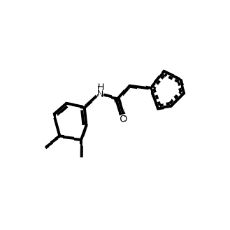 CC1C=CC(NC(=O)Cc2ccccc2)=CC1C